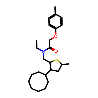 CCN(CC1SC(C)CC1C1CCCCCCC1)C(=O)COc1ccc(C)cc1